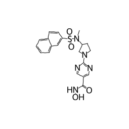 CN(C1CCN(c2ncc(C(=O)NO)cn2)C1)S(=O)(=O)c1ccc2ccccc2c1